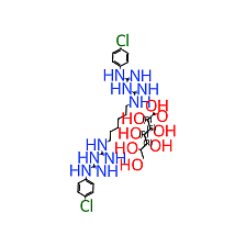 N=C(NCCCCCCNC(=N)NC(=N)Nc1ccc(Cl)cc1)NC(=N)Nc1ccc(Cl)cc1.O=C(O)[C@H](O)[C@@H](O)[C@H](O)[C@H](O)C(O)CO